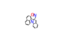 C1=NOc2ccc3ccccc3c2C12C=c1ccccc1=N2